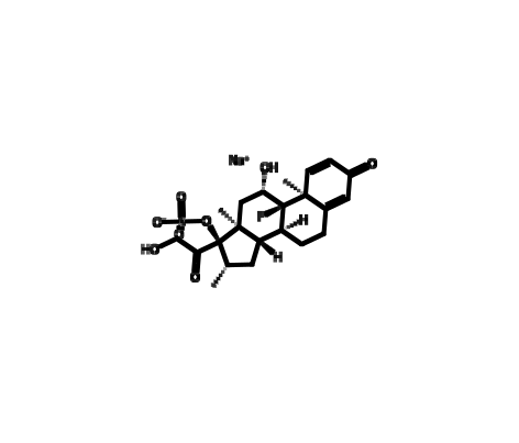 C[C@H]1C[C@H]2[C@@H]3CCC4=CC(=O)C=C[C@]4(C)[C@@]3(F)[C@@H](O)C[C@]2(C)[C@@]1(OS(=O)(=O)[O-])C(=O)CO.[Na+]